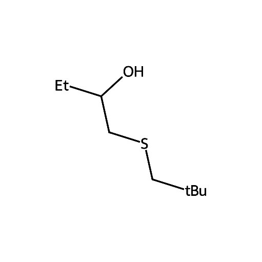 CCC(O)CSCC(C)(C)C